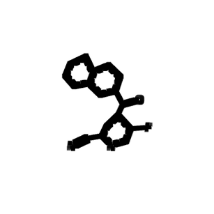 N#Cc1cc(C(=O)c2ccc3ccccc3c2)c(F)cn1